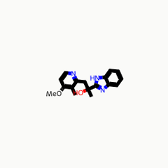 COc1ccnc(CC(C)(O)c2nc3ccccc3[nH]2)c1C